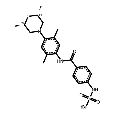 Cc1cc(N2C[C@@H](C)O[C@@H](C)C2)c(C)cc1NC(=O)c1ccc(NS(=O)(=O)C(C)(C)C)cc1